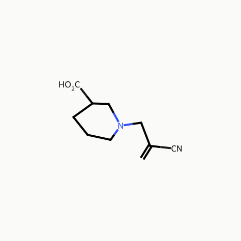 C=C(C#N)CN1CCCC(C(=O)O)C1